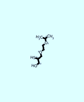 CC(C)OCCOCC(S)CO